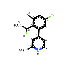 COc1cc(-c2cc(F)cc(C(C)C)c2C(F)C(=O)O)ccn1